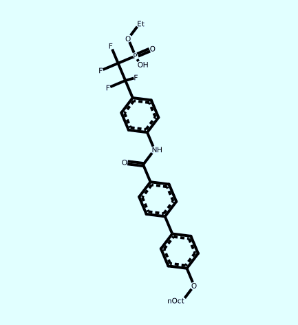 CCCCCCCCOc1ccc(-c2ccc(C(=O)Nc3ccc(C(F)(F)C(F)(F)P(=O)(O)OCC)cc3)cc2)cc1